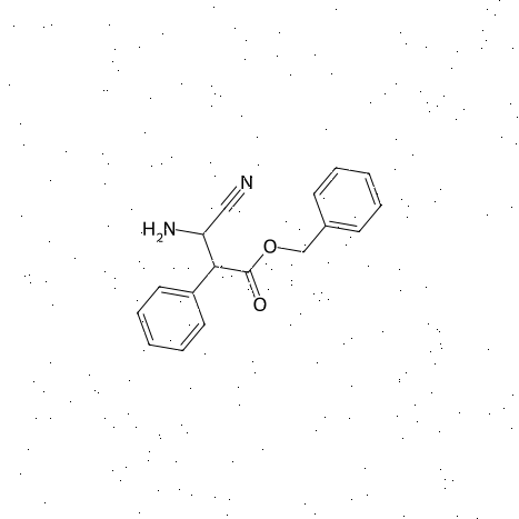 N#CC(N)C(C(=O)OCc1ccccc1)c1ccccc1